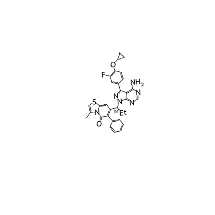 CC[C@@H](c1cc2scc(C)n2c(=O)c1-c1ccccc1)n1nc(-c2ccc(OC3CC3)c(F)c2)c2c(N)ncnc21